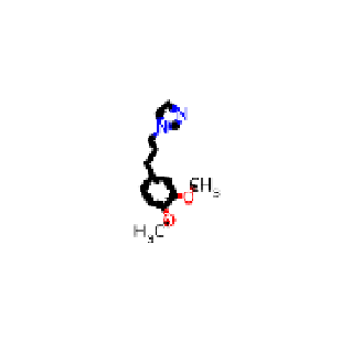 COc1ccc(CCCn2ccnc2)cc1OC